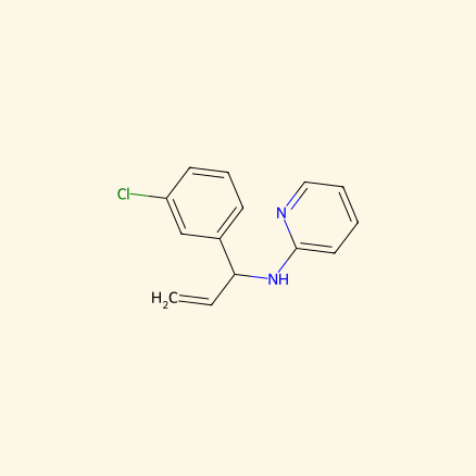 C=CC(Nc1ccccn1)c1cccc(Cl)c1